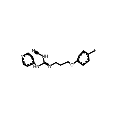 N#CNC(=NCCCOc1ccc(F)cc1)Nc1ccncc1